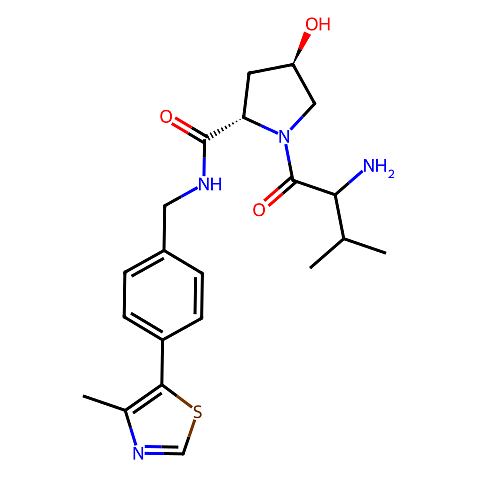 Cc1ncsc1-c1ccc(CNC(=O)[C@@H]2C[C@@H](O)CN2C(=O)C(N)C(C)C)cc1